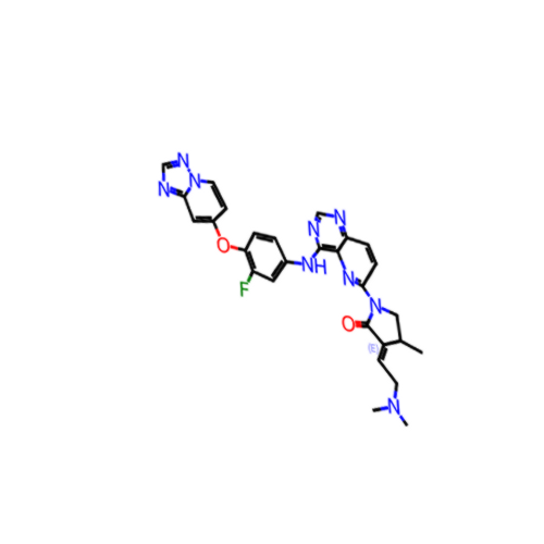 CC1CN(c2ccc3ncnc(Nc4ccc(Oc5ccn6ncnc6c5)c(F)c4)c3n2)C(=O)/C1=C/CN(C)C